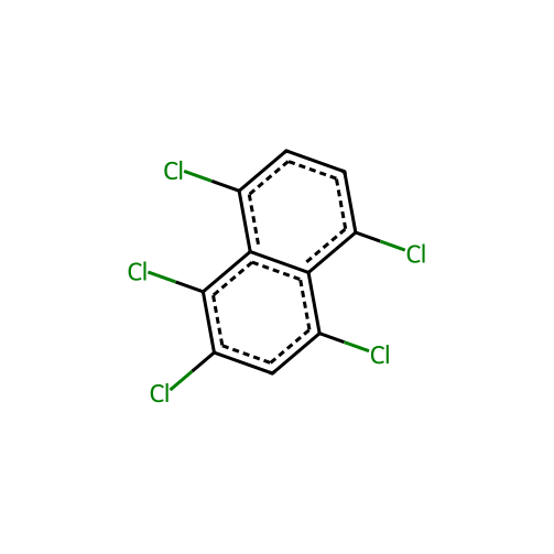 Clc1cc(Cl)c2c(Cl)ccc(Cl)c2c1Cl